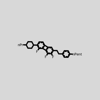 CCCCCc1ccc(CCc2cc3c(c(F)c2F)-c2c-3ccc(C3CCC(CCC)CC3)c2F)cc1